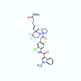 COC(=O)CCc1cnc([C@@H]2CCC[N+]2(C(=O)Cc2cc(Cl)c(NC(=O)c3cn(C)c4ccccc34)cc2F)N2CCC(F)(F)CC2)s1